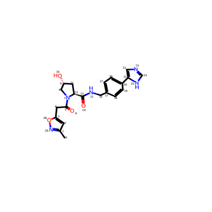 Cc1cc(CC(=O)N2C[C@H](O)C[C@H]2C(=O)NCc2ccc(-c3cnc[nH]3)cc2)on1